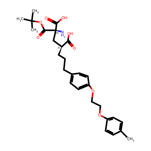 Cc1ccc(OCCOc2ccc(CCC[C@@H](C[C@@](N)(C(=O)O)C(=O)OC(C)(C)C)C(=O)O)cc2)cc1